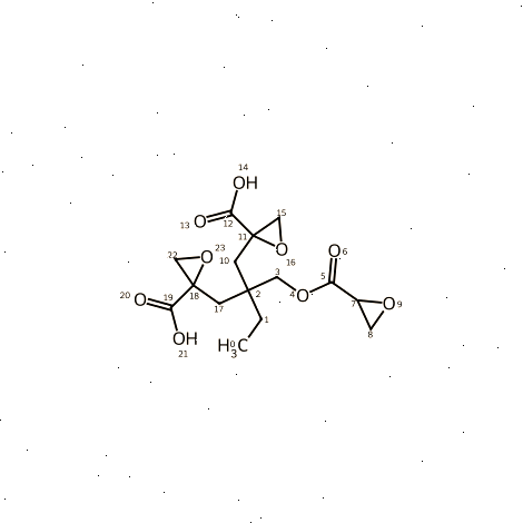 CCC(COC(=O)C1CO1)(CC1(C(=O)O)CO1)CC1(C(=O)O)CO1